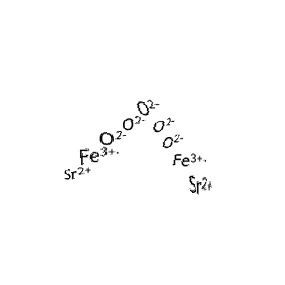 [Fe+3].[Fe+3].[O-2].[O-2].[O-2].[O-2].[O-2].[Sr+2].[Sr+2]